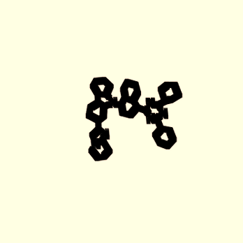 c1ccc(-c2nc(-c3ccccc3)nc(-c3ccc(-n4c5ccccc5c5ccc(-c6cn7ccccc7n6)cc54)c4ccccc34)n2)cc1